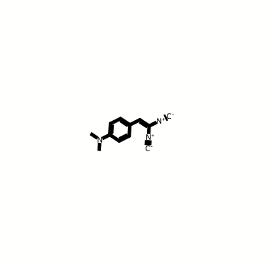 [C-]#[N+]C(=Cc1ccc(N(C)C)cc1)[N+]#[C-]